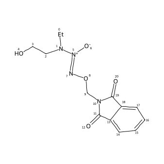 CCN(CCO)[N+]([O-])=NOCN1C(=O)c2ccccc2C1=O